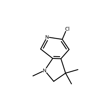 CN1CC(C)(C)c2cc(Cl)ncc21